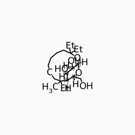 CCC1(CC)CCCCCCC(C)(CC)[C@H]2[C@H](O)[C@@H](O)[C@H](O[C@@H]2CO)O1